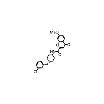 COc1ccc2c(=O)cc(C(=O)NC3CCN(Cc4cccc(Cl)c4)CC3)oc2c1